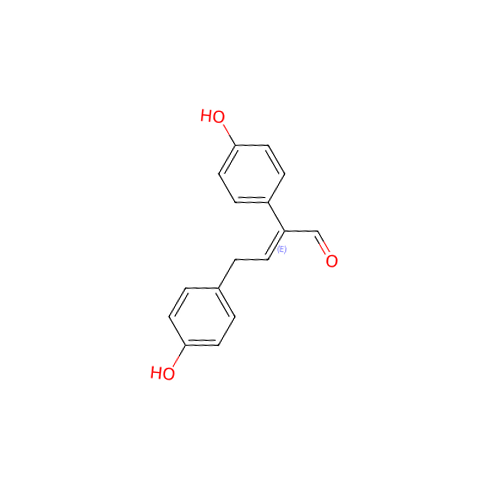 O=C/C(=C/Cc1ccc(O)cc1)c1ccc(O)cc1